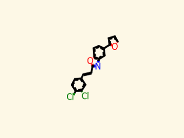 Clc1ccc(C=Cc2nc3cc(-c4ccco4)ccc3o2)cc1Cl